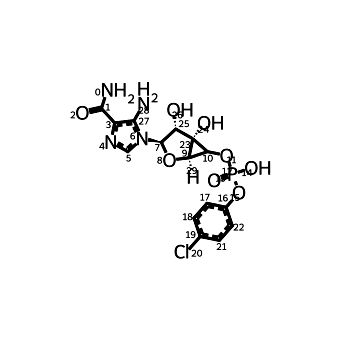 NC(=O)c1ncn([C@@H]2O[C@@H]3C(OP(=O)(O)Oc4ccc(Cl)cc4)[C@]3(O)[C@H]2O)c1N